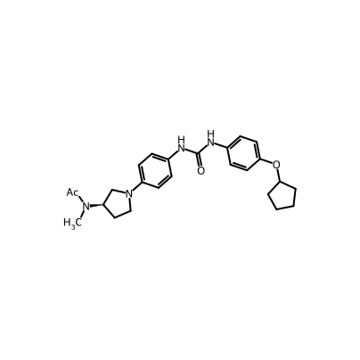 CC(=O)N(C)[C@@H]1CCN(c2ccc(NC(=O)Nc3ccc(OC4CCCC4)cc3)cc2)C1